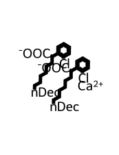 CCCCCCCCCCCCCCCCC(C(=O)[O-])c1ccccc1Cl.CCCCCCCCCCCCCCCCC(C(=O)[O-])c1ccccc1Cl.[Ca+2]